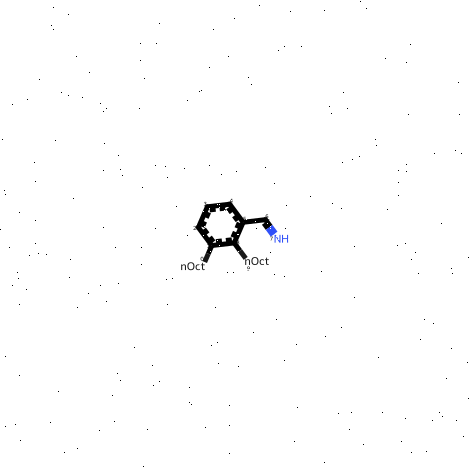 CCCCCCCCc1cccc([C]=N)c1CCCCCCCC